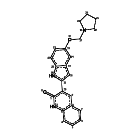 O=c1[nH]c2ccccc2cc1-c1cc2cc(OCN3CCCC3)ccc2[nH]1